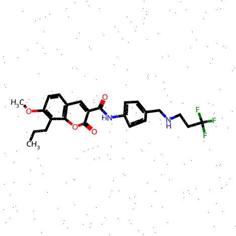 CCCc1c(OC)ccc2cc(C(=O)Nc3ccc(CNCCC(F)(F)F)cc3)c(=O)oc12